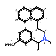 COc1cccc(C(C)N(C)CCc2cccc3ccccc23)c1